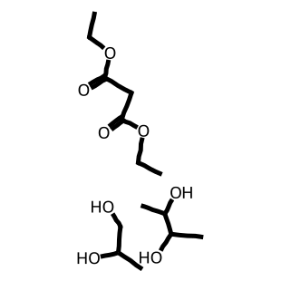 CC(O)C(C)O.CC(O)CO.CCOC(=O)CC(=O)OCC